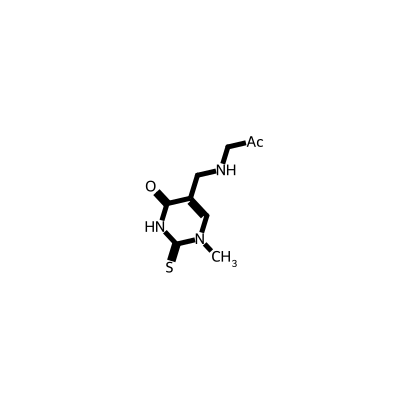 CC(=O)CNCc1cn(C)c(=S)[nH]c1=O